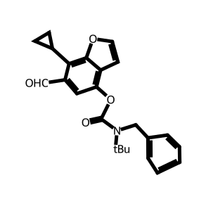 CC(C)(C)N(Cc1ccccc1)C(=O)Oc1cc(C=O)c(C2CC2)c2occc12